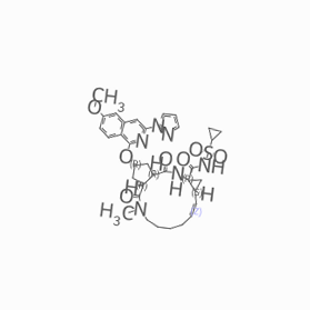 COc1ccc2c(O[C@@H]3C[C@H]4C(=O)N[C@]5(C(=O)NS(=O)(=O)C6CC6)C[C@H]5/C=C\CCCCN(C)C(=O)[C@@H]4C3)nc(-n3cccn3)cc2c1